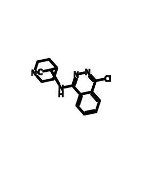 Clc1nnc(NC2CN3CCC2CC3)c2ccccc12